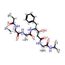 CCC[C@H](NC(=O)C[C@H](O)[C@H](Cc1ccccc1)NC(=O)[C@@H](NC(=O)[C@H](CC(C)C)NC(=O)CC(C)C)C(C)C)C(=O)NC(CC)CC